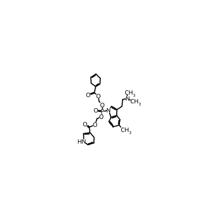 Cc1ccc2c(c1)c(CCN(C)C)cn2P(=O)(OCOC(=O)C1=CCC=CC1)OCOC(=O)C1=CNC=CC1